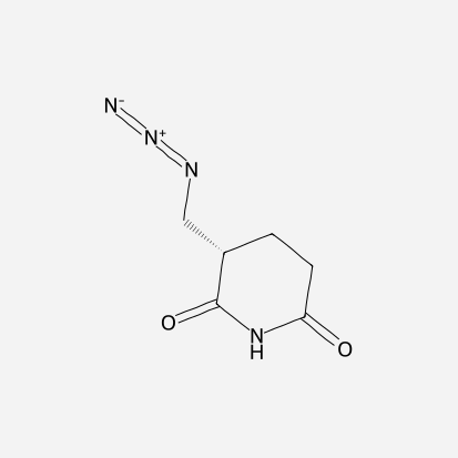 [N-]=[N+]=NC[C@@H]1CCC(=O)NC1=O